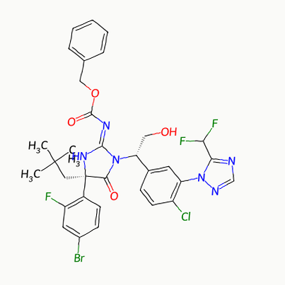 CC(C)(C)C[C@]1(c2ccc(Br)cc2F)NC(=NC(=O)OCc2ccccc2)N([C@H](CO)c2ccc(Cl)c(-n3ncnc3C(F)F)c2)C1=O